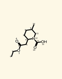 CCOC(=O)CC1CCC(C)CN1C(=O)O